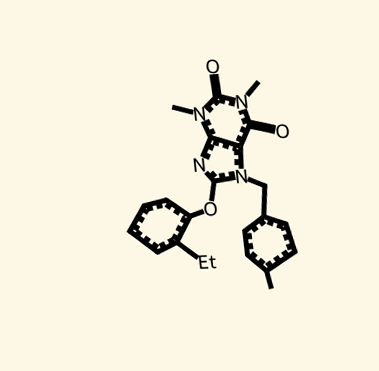 CCc1ccccc1Oc1nc2c(c(=O)n(C)c(=O)n2C)n1Cc1ccc(C)cc1